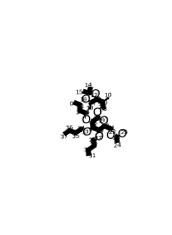 CCCCOC1[C@@H](OC[C@H](C)[C@@H]2OC(C)(C)O[C@@H]2C)OC(COC(C)=O)[C@H](OCCCC)[C@@H]1OCCCC